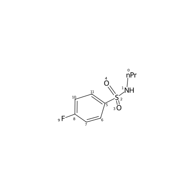 CCCNS(=O)(=O)c1ccc(F)cc1